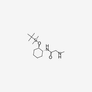 CNCC(=O)N[C@@H]1CCCC[C@H]1O[Si](C)(C)C(C)(C)C